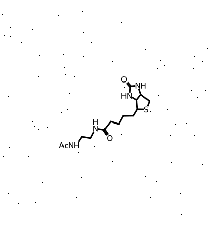 CC(=O)NCCNC(=O)CCCCC1SCC2NC(=O)NC21